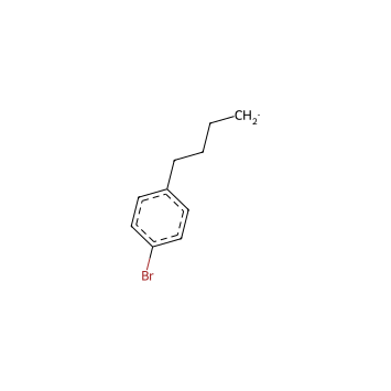 [CH2]CCCc1ccc(Br)cc1